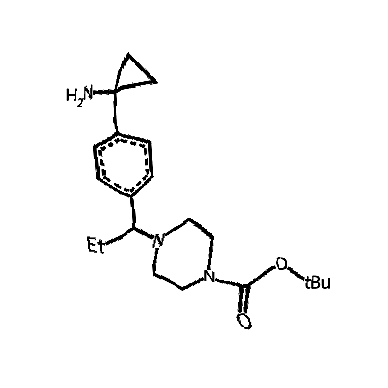 CCC(c1ccc(C2(N)CC2)cc1)N1CCN(C(=O)OC(C)(C)C)CC1